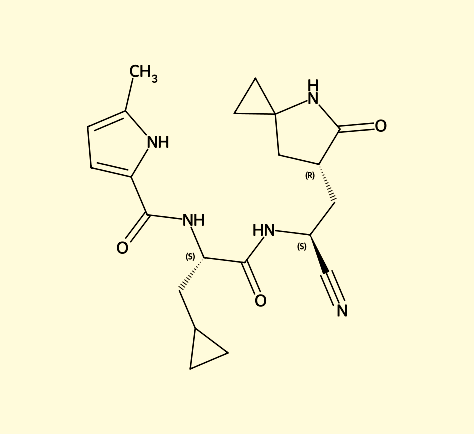 Cc1ccc(C(=O)N[C@@H](CC2CC2)C(=O)N[C@H](C#N)C[C@@H]2CC3(CC3)NC2=O)[nH]1